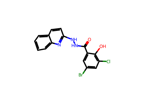 O=C(NNc1ccc2ccccc2n1)c1cc(Br)cc(Cl)c1O